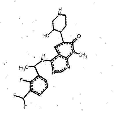 CC(Nc1ncnc2c1cc(C1CCNCC1O)c(=O)n2C)c1cccc(C(F)F)c1F